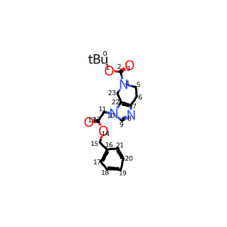 CC(C)(C)OC(=O)N1CCc2ncn(CC(=O)OCc3ccccc3)c2C1